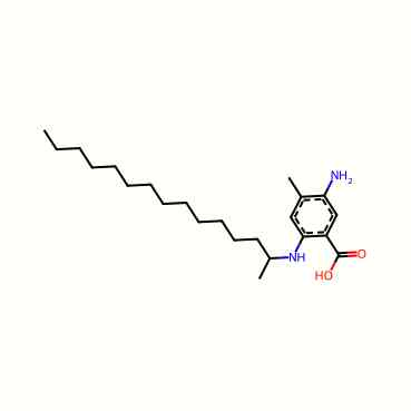 CCCCCCCCCCCCCC(C)Nc1cc(C)c(N)cc1C(=O)O